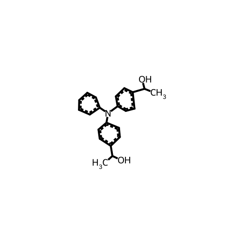 CC(O)c1ccc(N(c2ccccc2)c2ccc(C(C)O)cc2)cc1